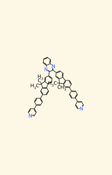 CC1(C)c2cc(-c3ccc(-c4ccncc4)cc3)ccc2-c2ccc(-c3nc4ccccc4nc3-c3ccc4c(c3)C(C)(C)c3cc(-c5ccc(-c6ccncc6)cc5)ccc3-4)cc21